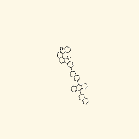 CC1(C)c2ccc(-c3ccc4cc(-c5c6ccccc6c(-c6ccc7ccccc7c6)c6ccccc56)ccc4c3)cc2-c2ccc3ccc4c(c3c21)C1C=CC=CC1O4